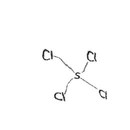 ClS(Cl)(Cl)Cl